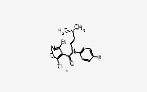 CCc1noc(C)c1C(=O)N(CCN(C)C)c1ccc(F)cc1